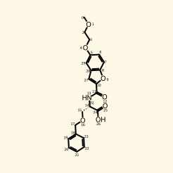 COCCOc1ccc2oc(C(=O)N[C@@H](COCc3ccccc3)C(=O)O)cc2c1